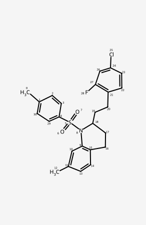 Cc1ccc(S(=O)(=O)N2c3cc(C)ccc3CCC2CCc2ccc(Cl)cc2F)cc1